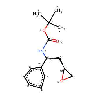 CC(C)(C)OC(=O)N[C@@H](C[C@H]1CO1)c1ccccc1